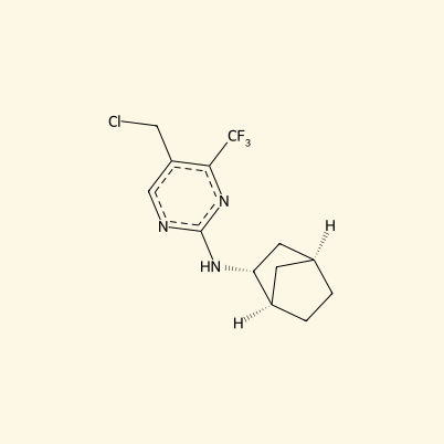 FC(F)(F)c1nc(N[C@@H]2C[C@H]3CC[C@@H]2C3)ncc1CCl